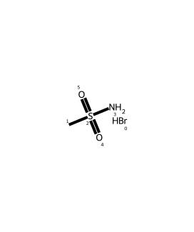 Br.CS(N)(=O)=O